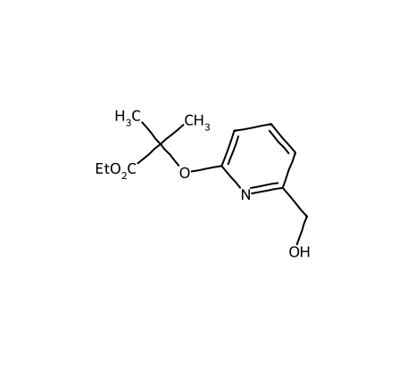 CCOC(=O)C(C)(C)Oc1cccc(CO)n1